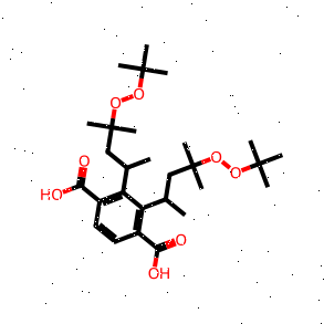 CC(CC(C)(C)OOC(C)(C)C)c1c(C(=O)O)ccc(C(=O)O)c1C(C)CC(C)(C)OOC(C)(C)C